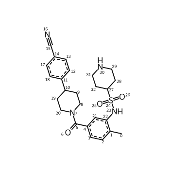 Cc1ccc(C(=O)N2CCC(c3ccc(C#N)cc3)CC2)cc1NS(=O)(=O)C1CCNCC1